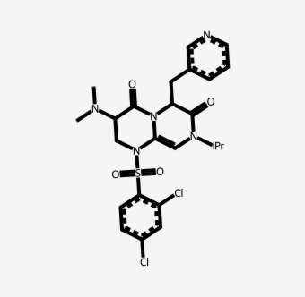 CC(C)N1C=C2N(C(=O)C(N(C)C)CN2S(=O)(=O)c2ccc(Cl)cc2Cl)C(Cc2cccnc2)C1=O